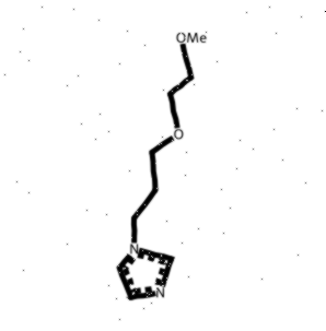 COCCOCCCn1c[c]nc1